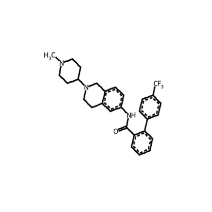 CN1CCC(N2CCc3cc(NC(=O)c4ccccc4-c4ccc(C(F)(F)F)cc4)ccc3C2)CC1